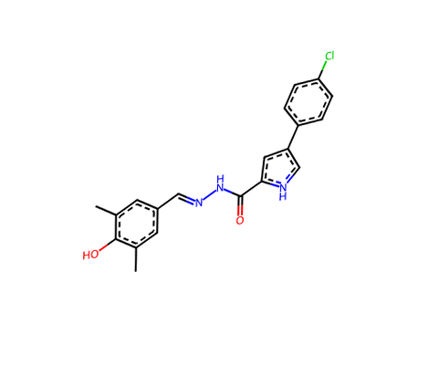 Cc1cc(C=NNC(=O)c2cc(-c3ccc(Cl)cc3)c[nH]2)cc(C)c1O